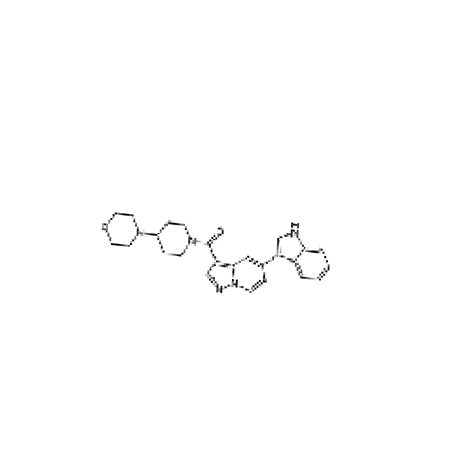 O=C(c1cnn2ccc(-c3c[nH]c4ncccc34)cc12)N1CCC(N2CCOCC2)CC1